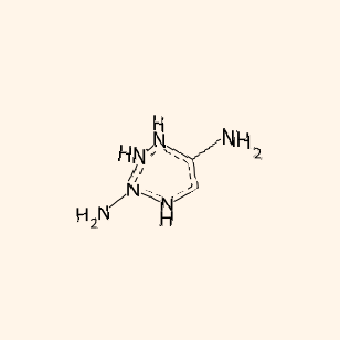 Nc1c[nH]n(N)[nH][nH]1